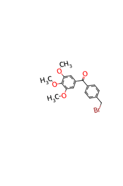 COc1cc(C(=O)c2ccc(CBr)cc2)cc(OC)c1OC